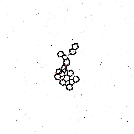 c1ccc(N(c2ccc3c(c2)c2ccccc2n3-c2ccc3ccccc3c2)c2cccc3c2C2(c4ccccc4-c4ccccc42)c2ccccc2C32c3ccccc3-c3ccccc32)cc1